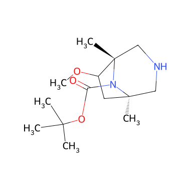 COC1C[C@]2(C)CNC[C@]1(C)N2C(=O)OC(C)(C)C